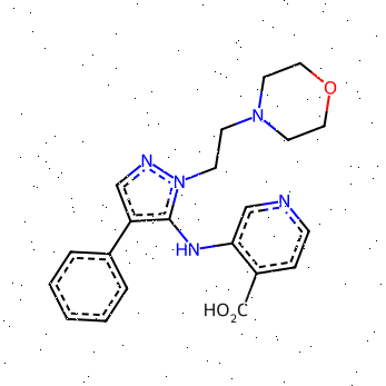 O=C(O)c1ccncc1Nc1c(-c2ccccc2)cnn1CCN1CCOCC1